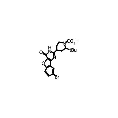 CC(C)(C)C1CC(c2nc3c(oc4ccc(Br)cc43)c(=O)[nH]2)CCN1C(=O)O